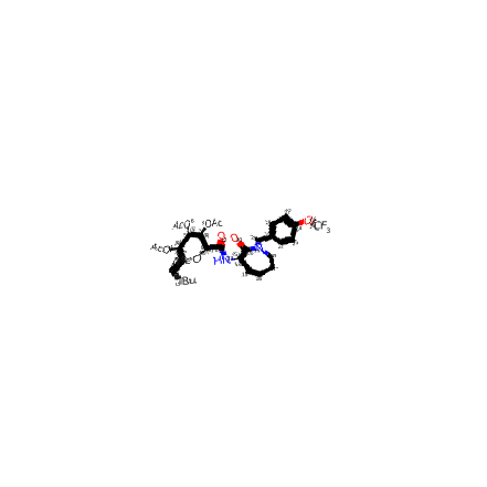 CCC(C)C=C[C@@H](OC(C)=O)[C@H](OC(C)=O)[C@@H](OC(C)=O)[C@@H](OC)C(=O)N[C@H]1CCCCN(Cc2ccc(OC(F)(F)F)cc2)C1=O